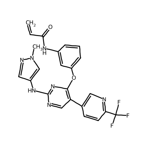 C=CC(=O)Nc1cccc(Oc2nc(Nc3cnn(C)c3)ncc2-c2ccc(C(F)(F)F)nc2)c1